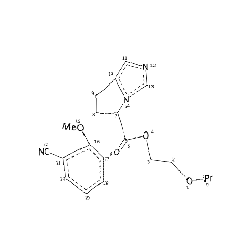 CC(C)OCCOC(=O)C1CCc2cncn21.COc1ccccc1C#N